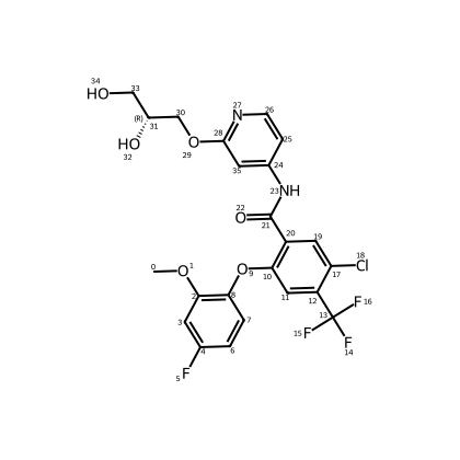 COc1cc(F)ccc1Oc1cc(C(F)(F)F)c(Cl)cc1C(=O)Nc1ccnc(OC[C@H](O)CO)c1